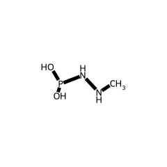 CNNP(O)O